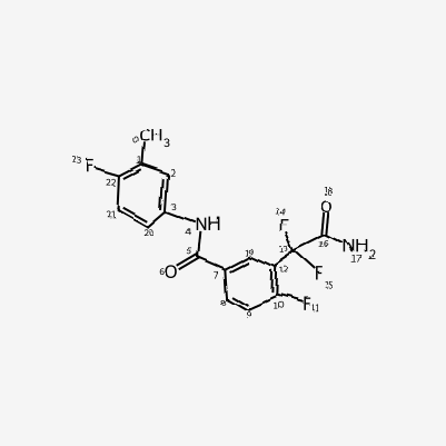 Cc1cc(NC(=O)c2ccc(F)c(C(F)(F)C(N)=O)c2)ccc1F